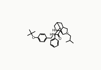 CC(C)CN1CC2CC3CNC2(C(=O)NCc2ccc(OC(C)(C)C)cc2)C1C3Cc1ccccc1